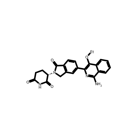 CCOc1c(-c2ccc3c(c2)CN([C@H]2CCC(=O)NC2=O)C3=O)nc(N)c2ccccc12